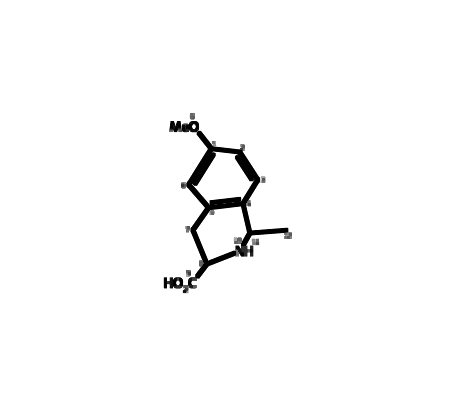 COc1ccc2c(c1)CC(C(=O)O)NC2C